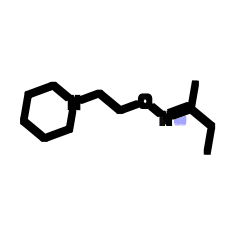 CC/C(C)=N/OCCN1CCCCC1